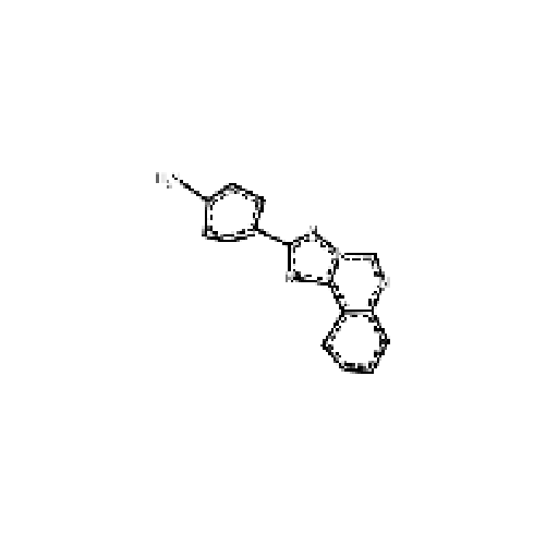 Nc1ccc(-c2nc3c4ccccc4ncn3n2)cc1